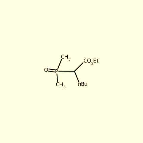 CCCCC(C(=O)OCC)P(C)(C)=O